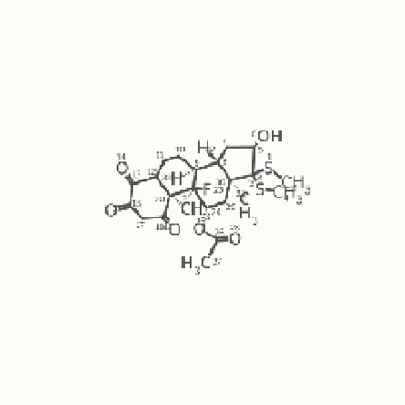 CSC1(SC)[C@H](O)C[C@H]2[C@@H]3CCC4C(=O)C(=O)CC(=O)[C@]4(C)C3(F)[C@@H](OC(C)=O)C[C@@]21C